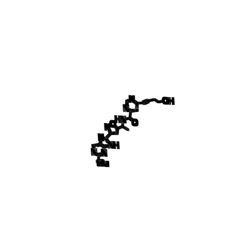 CC(NC(=O)c1cc(C#CCCO)ncn1)c1cc(-c2nc3cnc(C(C)(C)C)nc3[nH]2)no1